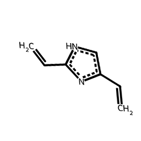 C=Cc1c[nH]c(C=C)n1